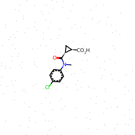 CN(C(=O)[C@H]1C[C@H]1C(=O)O)c1ccc(Cl)cc1